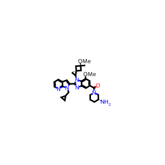 COc1cc(C(=O)N2CCC[C@@H](N)C2)cc2nc(-c3cc4cccnc4n3CC3CC3)n(C3C[C@]34C[C@](C)(OC)C4)c12